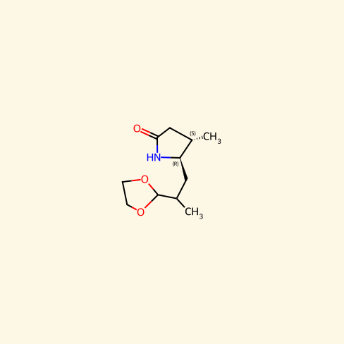 CC(C[C@H]1NC(=O)C[C@@H]1C)C1OCCO1